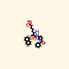 COC(=O)CCCC/C=C(\COc1cccc2ccccc12)C(=O)NC1CCN(C(=O)C2CCCCC2)C1